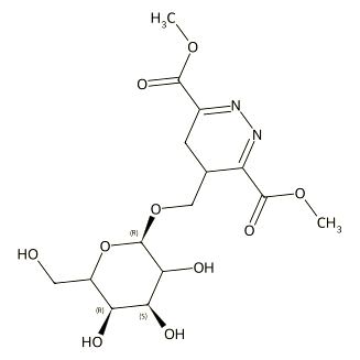 COC(=O)C1=NN=C(C(=O)OC)C(CO[C@@H]2OC(CO)[C@H](O)[C@H](O)C2O)C1